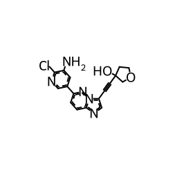 Nc1cc(-c2ccc3ncc(C#CC4(O)CCOC4)n3n2)cnc1Cl